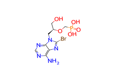 Nc1ncnc2c1nc(Br)n2C[C@@H](CO)OCP(=O)(O)O